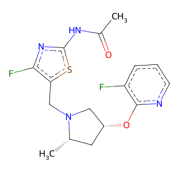 CC(=O)Nc1nc(F)c(CN2C[C@H](Oc3ncccc3F)C[C@@H]2C)s1